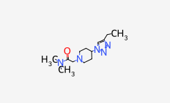 CCc1cn(C2CCN(CC(=O)N(C)C)CC2)nn1